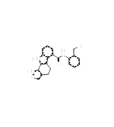 O=C(Nc1ccccc1CO)c1cccc2[nH]c3c(c12)CCc1cn[nH]c1-3